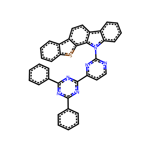 c1ccc(-c2nc(-c3ccccc3)nc(-c3ccnc(-n4c5ccccc5c5ccc6c7ccccc7sc6c54)n3)n2)cc1